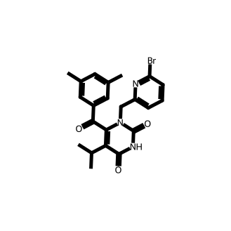 Cc1cc(C)cc(C(=O)c2c(C(C)C)c(=O)[nH]c(=O)n2Cc2cccc(Br)n2)c1